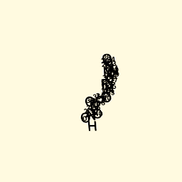 O=C1CC[C@H](N2Cc3cc(O[C@H]4CCN(Cc5cc6cnc(N7CCOCC7)nc6cc5F)C4)ccc3C2=O)C(=O)N1